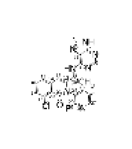 C[C@H](Nc1ncnc2[nH]cnc12)c1cc2cccc(Cl)c2c(=O)n1-c1cccnc1F